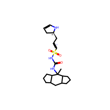 CC1(NC(=O)NS(=O)(=O)/C=C/C[C@H]2CC=CN2)C2CCCC2CC2CCCC21